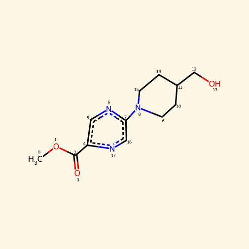 COC(=O)c1cnc(N2CCC(CO)CC2)cn1